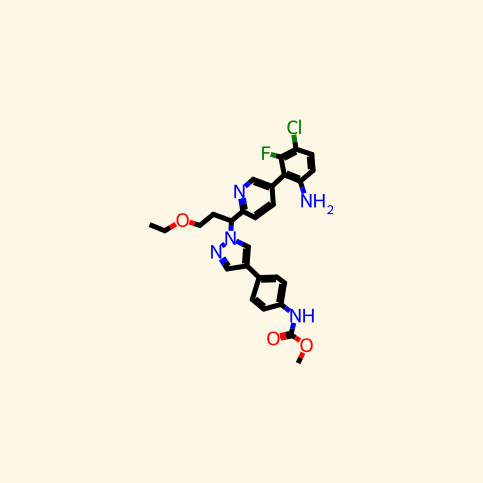 CCOCCC(c1ccc(-c2c(N)ccc(Cl)c2F)cn1)n1cc(-c2ccc(NC(=O)OC)cc2)cn1